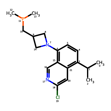 CC(C)c1ccc(N2CC(CP(C)C)C2)c2cnc(Cl)cc12